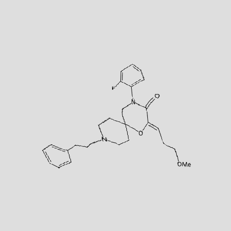 COCC/C=C1\OC2(CCN(CCc3ccccc3)CC2)CN(c2ccccc2F)C1=O